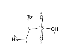 O=S(=O)(O)CCS.[Rb]